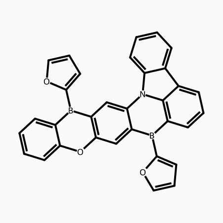 c1coc(B2c3ccccc3Oc3cc4c(cc32)-n2c3ccccc3c3cccc(c32)B4c2ccco2)c1